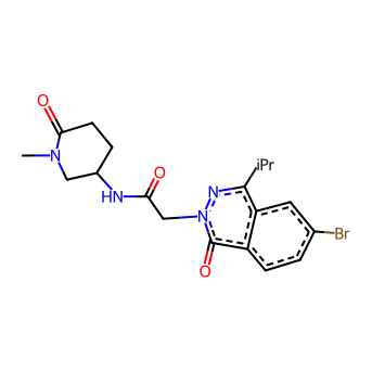 CC(C)c1nn(CC(=O)NC2CCC(=O)N(C)C2)c(=O)c2ccc(Br)cc12